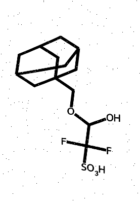 O=S(=O)(O)C(F)(F)C(O)OCC12CC3CC(CC(C3)C1)C2